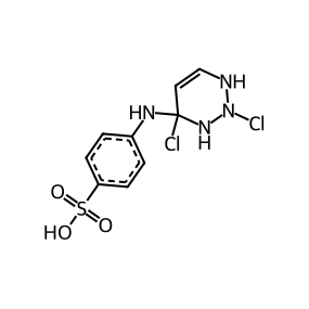 O=S(=O)(O)c1ccc(NC2(Cl)C=CNN(Cl)N2)cc1